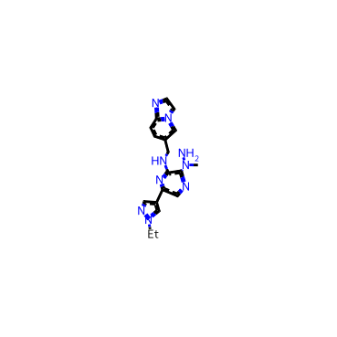 CCn1cc(-c2cnc(N(C)N)c(NCc3ccc4nccn4c3)n2)cn1